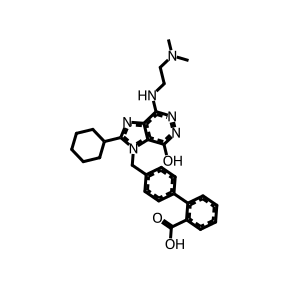 CN(C)CCNc1nnc(O)c2c1nc(C1CCCCC1)n2Cc1ccc(-c2ccccc2C(=O)O)cc1